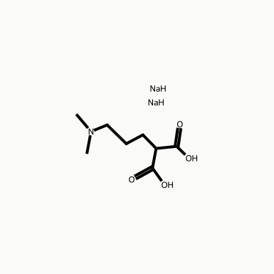 CN(C)CCCC(C(=O)O)C(=O)O.[NaH].[NaH]